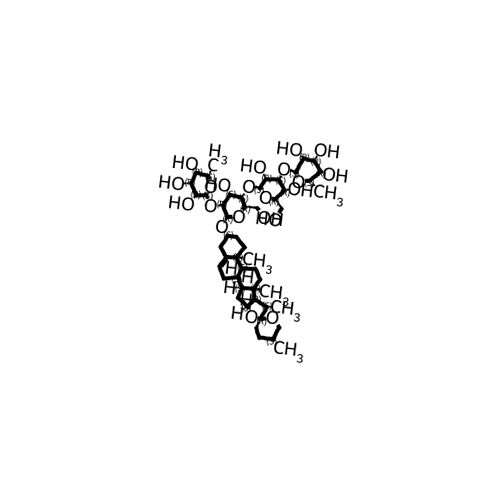 C[C@H]1CC[C@@]2(OC1)O[C@H]1C[C@H]3[C@@H]4CC=C5C[C@@H](O[C@@H]6O[C@H](CO)[C@@H](O[C@@H]7O[C@H](CO)[C@@H](O)[C@H](O[C@@H]8O[C@@H](C)[C@H](O)[C@@H](O)[C@H]8O)[C@H]7O)[C@H](O)[C@H]6O[C@@H]6O[C@@H](C)[C@H](O)[C@@H](O)[C@H]6O)CC[C@]5(C)[C@H]4CC[C@]3(C)[C@H]1[C@@H]2C